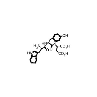 N[C@@H](Cc1c[nH]c2ccccc12)C(=O)N[C@@H](Cc1ccc(O)cc1)C(=O)N[C@@H](CC(=O)O)C(=O)O